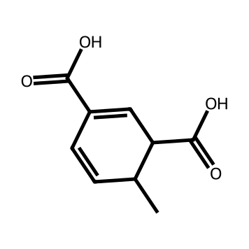 CC1C=CC(C(=O)O)=CC1C(=O)O